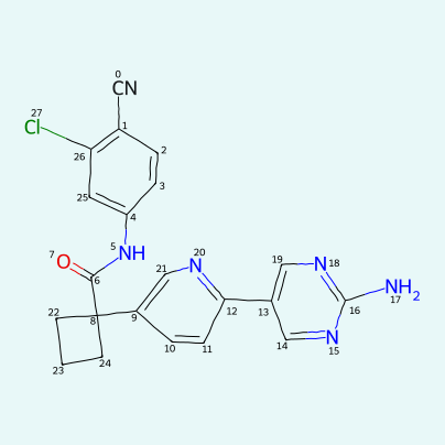 N#Cc1ccc(NC(=O)C2(c3ccc(-c4cnc(N)nc4)nc3)CCC2)cc1Cl